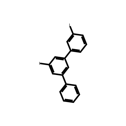 Ic1cccc(-c2cc(I)cc(-c3ccccc3)c2)c1